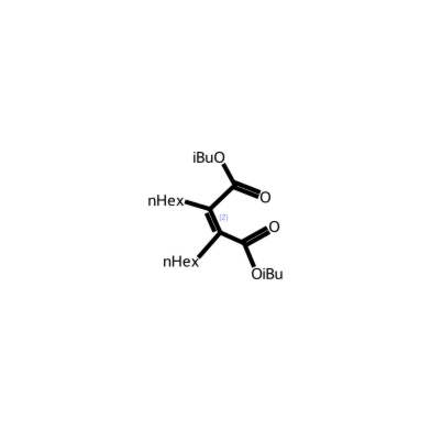 CCCCCC/C(C(=O)OCC(C)C)=C(\CCCCCC)C(=O)OCC(C)C